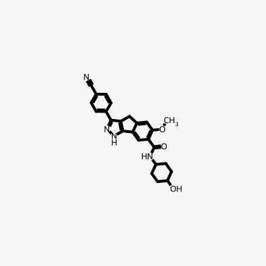 COc1cc2c(cc1C(=O)NC1CCC(O)CC1)-c1[nH]nc(-c3ccc(C#N)cc3)c1C2